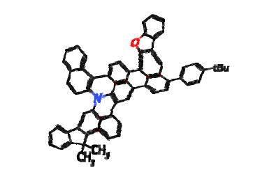 CC(C)(C)c1ccc(-c2ccc(-c3ccc(N(c4ccc5c(c4)-c4ccccc4C5(C)C)c4ccc5ccccc5c4-c4ccc(-c5cccc6c5oc5ccccc56)cc4)c(-c4ccccc4)c3)cc2)cc1